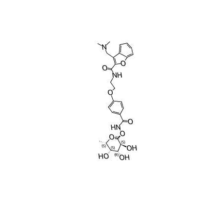 C[C@@H]1O[C@@H](ONC(=O)c2ccc(OCCNC(=O)c3oc4ccccc4c3CN(C)C)cc2)[C@@H](O)[C@H](O)[C@@H]1O